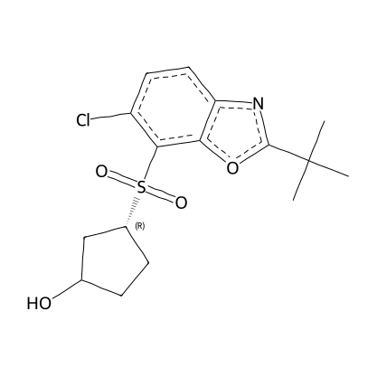 CC(C)(C)c1nc2ccc(Cl)c(S(=O)(=O)[C@@H]3CCC(O)C3)c2o1